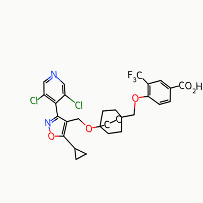 O=C(O)c1ccc(OCC23CCC(OCc4c(-c5c(Cl)cncc5Cl)noc4C4CC4)(CC2)CC3)c(C(F)(F)F)c1